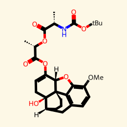 COc1ccc2c3c1O[C@H]1C(OC(=O)[C@H](C)OC(=O)[C@H](C)NC(=O)OC(C)(C)C)=CC[C@@]4(O)[C@H](CCC[C@]314)C2